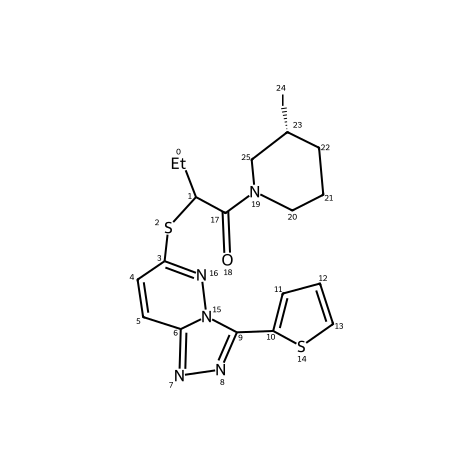 CCC(Sc1ccc2nnc(-c3cccs3)n2n1)C(=O)N1CCC[C@@H](I)C1